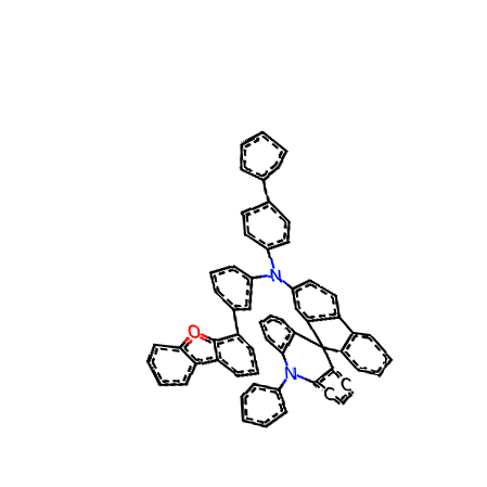 c1ccc(-c2ccc(N(c3cccc(-c4cccc5c4oc4ccccc45)c3)c3ccc4c(c3)C3(c5ccccc5-4)c4ccccc4N(c4ccccc4)c4ccccc43)cc2)cc1